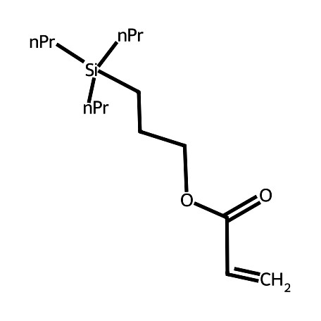 C=CC(=O)OCCC[Si](CCC)(CCC)CCC